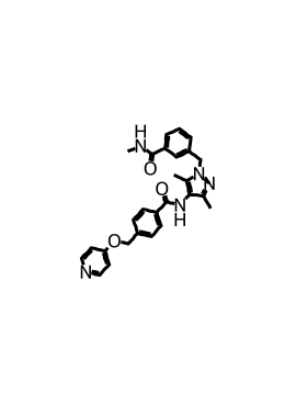 CNC(=O)c1cccc(Cn2nc(C)c(NC(=O)c3ccc(COc4ccncc4)cc3)c2C)c1